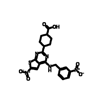 O=C(O)C1CCC(c2nc(NCc3cccc([N+](=O)[O-])c3)c3cc([N+](=O)[O-])sc3n2)CC1